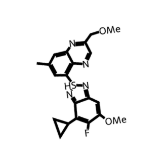 COCc1cnc2c([SH]3N=c4cc(OC)c(F)c(C5CC5)c4=N3)cc(C)cc2n1